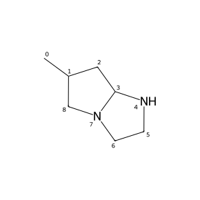 CC1CC2NCCN2C1